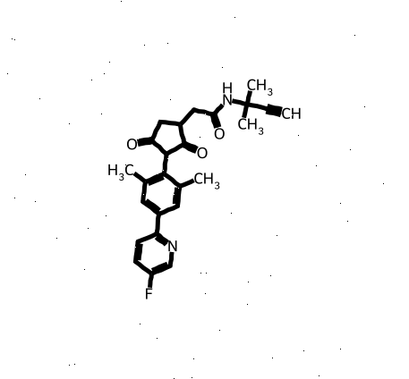 C#CC(C)(C)NC(=O)CC1CC(=O)C(c2c(C)cc(-c3ccc(F)cn3)cc2C)C1=O